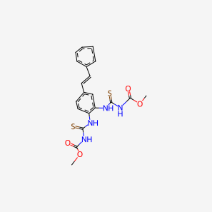 COC(=O)NC(=S)Nc1ccc(C=Cc2ccccc2)cc1NC(=S)NC(=O)OC